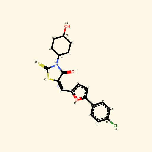 O=C1/C(=C\c2ccc(-c3ccc(Cl)cc3)o2)SC(=S)N1C1CCC(O)CC1